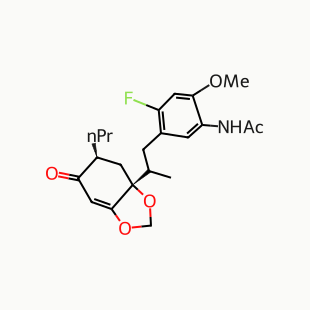 CCC[C@H]1C[C@]2(C(C)Cc3cc(NC(C)=O)c(OC)cc3F)OCOC2=CC1=O